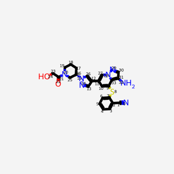 N#Cc1ccccc1Sc1cc(-c2cnn([C@@H]3CCCN(C(=O)CO)C3)c2)cn2ncc(N)c12